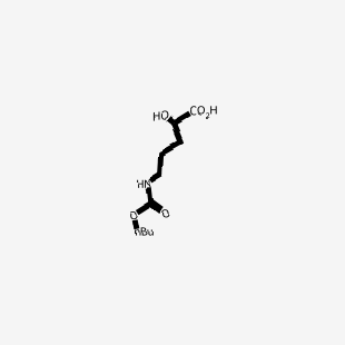 CCCCOC(=O)NCCCC(O)C(=O)O